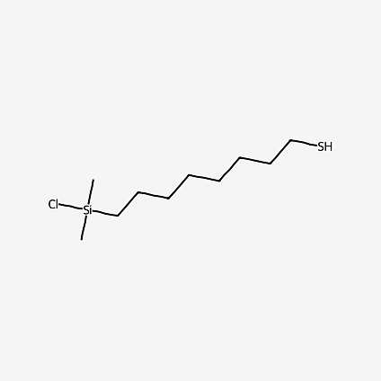 C[Si](C)(Cl)CCCCCCCCS